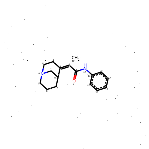 O=C(C=C1CCN2CCCC1C2)Nc1ccccc1.[CH2]